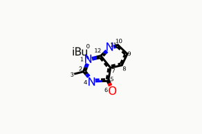 CCC(C)n1c(C)nc(=O)c2cccnc21